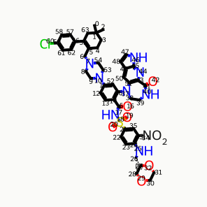 CC1(C)CCC(CN2CCN(c3ccc(C(=O)NS(=O)(=O)c4ccc(NC[C@H]5COCCO5)c([N+](=O)[O-])c4)c(N4CCNC(=O)c5nc6[nH]ccc6cc54)c3)CC2)=C(c2ccc(Cl)cc2)C1